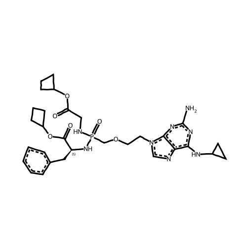 Nc1nc(NC2CC2)c2ncn(CCOCP(=O)(NCC(=O)OC3CCC3)N[C@@H](Cc3ccccc3)C(=O)OC3CCC3)c2n1